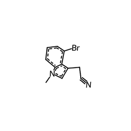 Cn1cc(CC#N)c2c(Br)cccc21